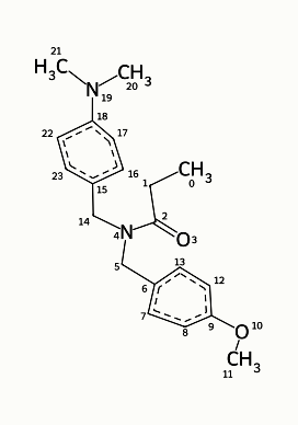 CCC(=O)N(Cc1ccc(OC)cc1)Cc1ccc(N(C)C)cc1